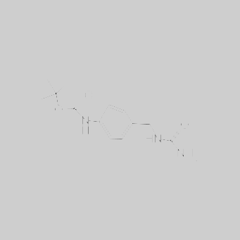 CC(C)(C)OC(=O)Nc1ccc(CNC(N)=O)cc1